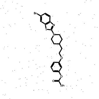 CCCC(=O)Oc1cccc(OCCC2CCN(c3nc4ccc(Br)cc4s3)CC2)c1